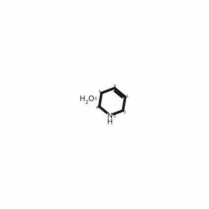 C1=CCNCC1.O